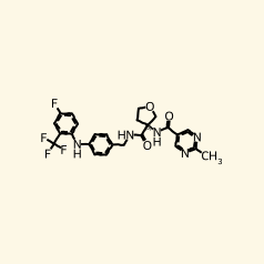 Cc1ncc(C(=O)N[C@@]2(C(=O)NCc3ccc(Nc4ccc(F)cc4C(F)(F)F)cc3)CCOC2)cn1